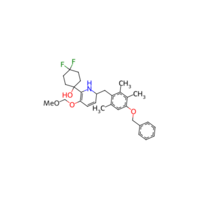 COCOC1=C(C2(O)CCC(F)(F)CC2)NC(Cc2c(C)cc(OCc3ccccc3)c(C)c2C)C=C1